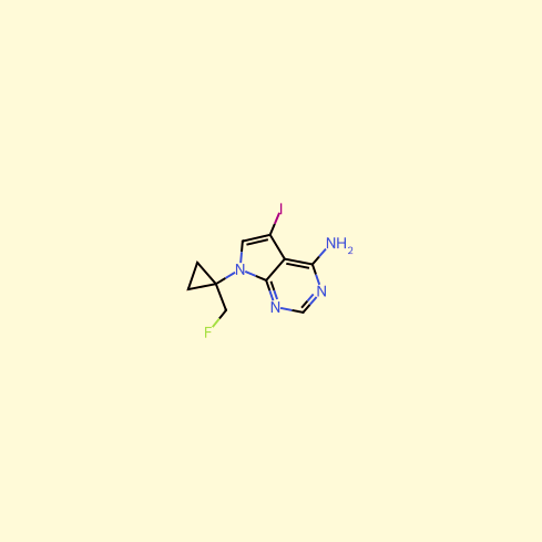 Nc1ncnc2c1c(I)cn2C1(CF)CC1